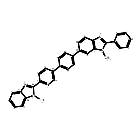 Cn1c(-c2ccccc2)nc2ccc(-c3ccc(-c4ccc(-c5nc6ccccc6n5C)nc4)cc3)cc21